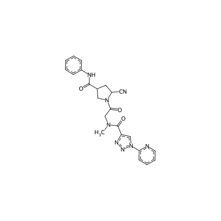 CN(CC(=O)N1CC(C(=O)Nc2ccccc2)CC1C#N)C(=O)c1cn(-c2ccccn2)nn1